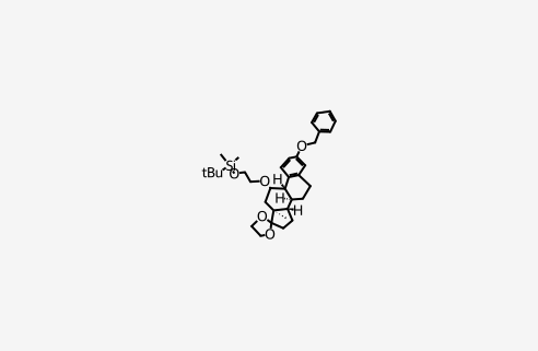 CC(C)(C)[Si](C)(C)OCCO[C@H]1C[C@@]2(C)[C@@H](CCC23OCCO3)[C@@H]2CCc3cc(OCc4ccccc4)ccc3[C@H]21